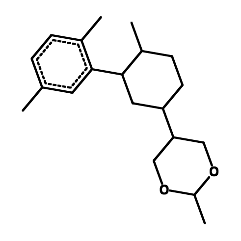 Cc1ccc(C)c(C2CC(C3COC(C)OC3)CCC2C)c1